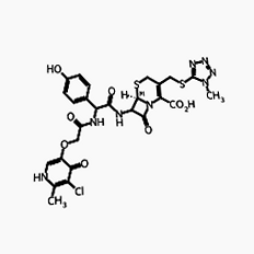 Cc1[nH]cc(OCC(=O)NC(C(=O)NC2C(=O)N3C(C(=O)O)=C(CSc4nnnn4C)CS[C@H]23)c2ccc(O)cc2)c(=O)c1Cl